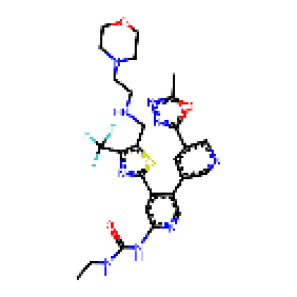 CCNC(=O)Nc1cc(-c2nc(C(F)(F)F)c(CNCCN3CCOCC3)s2)c(-c2cncc(-c3nnc(C)o3)c2)cn1